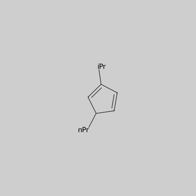 CCCC1C=CC(C(C)C)=C1